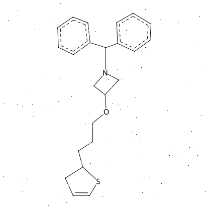 C1=CSC(CCCOC2CN(C(c3ccccc3)c3ccccc3)C2)C1